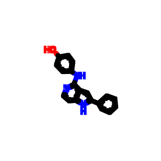 Oc1ccc(Nc2nccc3[nH]c(-c4ccccc4)cc23)cc1